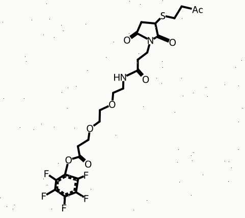 CC(=O)CCSC1CC(=O)N(CCC(=O)NCCOCCOCCC(=O)Oc2c(F)c(F)c(F)c(F)c2F)C1=O